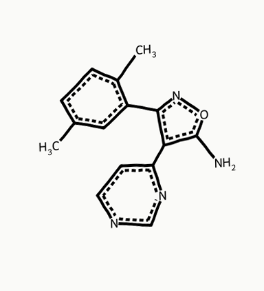 Cc1ccc(C)c(-c2noc(N)c2-c2ccncn2)c1